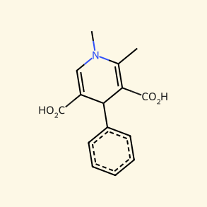 CC1=C(C(=O)O)C(c2ccccc2)C(C(=O)O)=CN1C